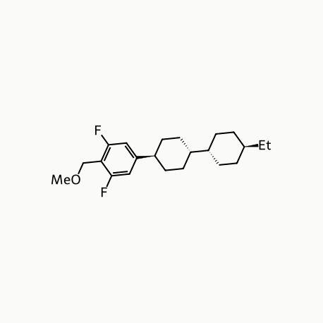 CC[C@H]1CC[C@H]([C@H]2CC[C@H](c3cc(F)c(COC)c(F)c3)CC2)CC1